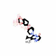 BC1(Oc2ccc3c(c2)OC(B)(B)C(B)(B)O3)CCN(c2nn3c(=O)ccnc3c(C)c2C2CC2)CC1